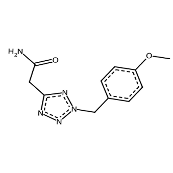 COc1ccc(Cn2nnc(CC(N)=O)n2)cc1